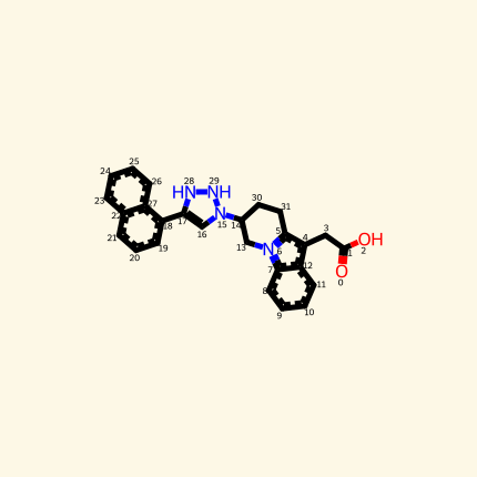 O=C(O)Cc1c2n(c3ccccc13)CC(N1C=C(c3cccc4ccccc34)NN1)CC2